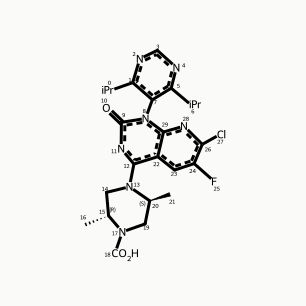 CC(C)c1ncnc(C(C)C)c1-n1c(=O)nc(N2C[C@@H](C)N(C(=O)O)C[C@@H]2C)c2cc(F)c(Cl)nc21